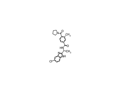 Cc1cc(C(=O)N[C@@H](C)c2nc3cc(Cl)ccc3[nH]2)ccc1C(=O)N1CCCC1